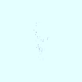 O=C(NCc1ccc(Cl)cc1Cl)Oc1cn([C@@H]2C[C@@H]2F)c2c(Cl)c(N3CCN(CCOCCO)CC3)c(F)cc2c1=O